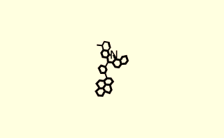 CC1CC=Cc2c1ccc1c(-c3cccc(-c4ccc5ccc6cccc7ccc4c5c67)c3)c3ccc4ccccc4c3nc21